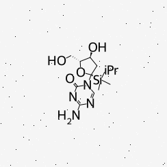 CC(C)[Si](C)(C)[C@]1(n2cnc(N)nc2=O)C[C@H](O)[C@@H](CO)O1